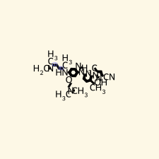 C=N/C(C)=C\C=C(/C)Nc1cc2ncn(-c3ccc(C(C)O)c(-n4nc(C#N)cc4C)n3)c2cc1OCCN(C)C